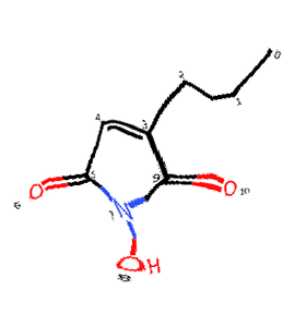 CCCC1=CC(=O)N(O)C1=O